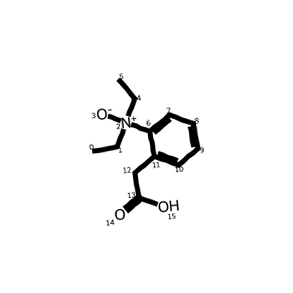 CC[N+]([O-])(CC)c1ccccc1CC(=O)O